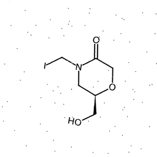 O=C1CO[C@@H](CO)CN1CI